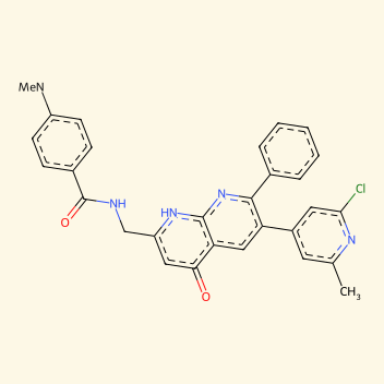 CNc1ccc(C(=O)NCc2cc(=O)c3cc(-c4cc(C)nc(Cl)c4)c(-c4ccccc4)nc3[nH]2)cc1